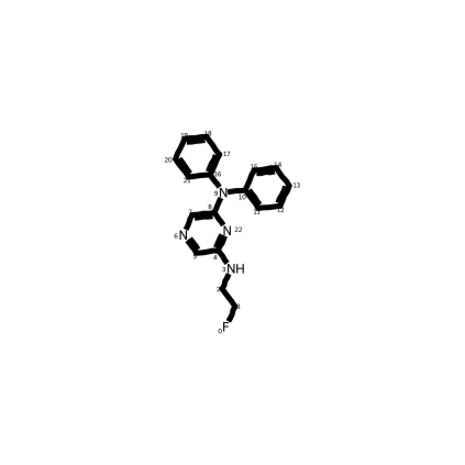 FCCNc1cncc(N(c2ccccc2)c2ccccc2)n1